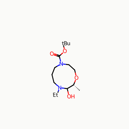 CCN1CCCN(C(=O)OC(C)(C)C)CCO[C@H](C)C1O